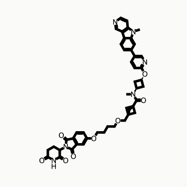 Cn1c2ccncc2c2ccc(-c3ccc(O[C@H]4C[C@H](N(C)C(=O)C56CC(COCCCCOc7ccc8c(c7)C(=O)N(C7CCC(=O)NC7=O)C8=O)(C5)C6)C4)nc3)cc21